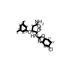 Cc1cc(C)cc(OC(CC(N)=O)C(=O)Nc2nc3cc(Cl)ccc3o2)c1